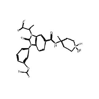 CC(C(F)F)n1c(=O)n(-c2cccc(OC(F)F)c2)c2ccc(C(=O)NC3(C)CCS(O)(O)CC3)cc21